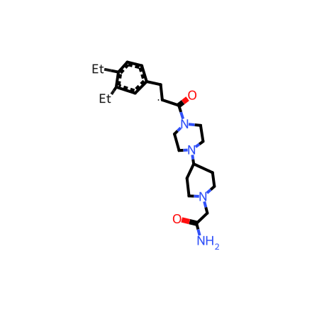 CCc1ccc(C[CH]C(=O)N2CCN(C3CCN(CC(N)=O)CC3)CC2)cc1CC